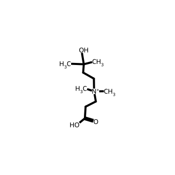 CC(C)(O)CC[N+](C)(C)CCC(=O)O